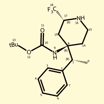 C[C@H](c1ccccc1)[C@@]1(NC(=O)OC(C)(C)C)CCN[C@@H](C(F)(F)F)C1